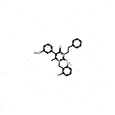 COc1cccc(-c2c(C)n(Cc3c(F)cccc3C(F)(F)F)c(=O)n(CCc3ccccc3)c2=O)c1